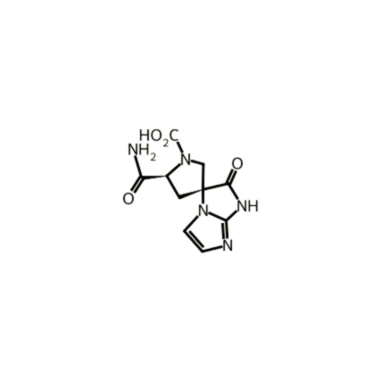 NC(=O)[C@@H]1C[C@@]2(CN1C(=O)O)C(=O)Nc1nccn12